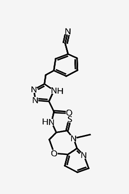 CN1C(=S)C(NC(=O)c2nnc(Cc3cccc(C#N)c3)[nH]2)COc2cccnc21